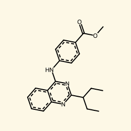 CCC(CC)c1nc(Nc2ccc(C(=O)OC)cc2)c2ccccc2n1